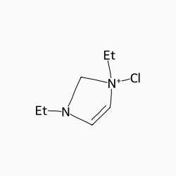 CCN1C=C[N+](Cl)(CC)C1